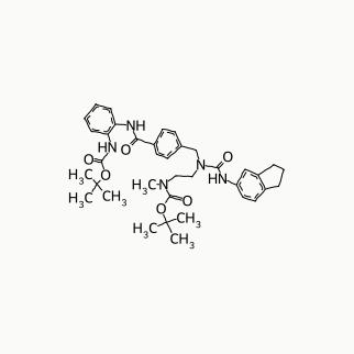 CN(CCN(Cc1ccc(C(=O)Nc2ccccc2NC(=O)OC(C)(C)C)cc1)C(=O)Nc1ccc2c(c1)CCC2)C(=O)OC(C)(C)C